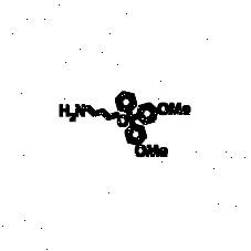 COc1ccc(C(OCCCCCN)(c2ccccc2)c2ccc(OC)cc2)cc1